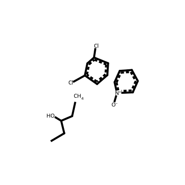 C.CCC(O)CC.Clc1cccc(Cl)c1.[O-][n+]1ccccc1